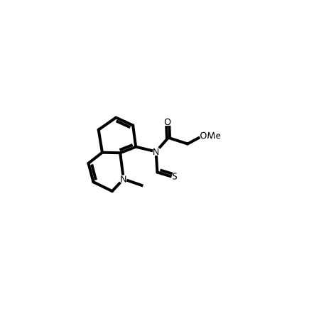 COCC(=O)N(C=S)C1=C2C(C=CCN2C)CC=C1